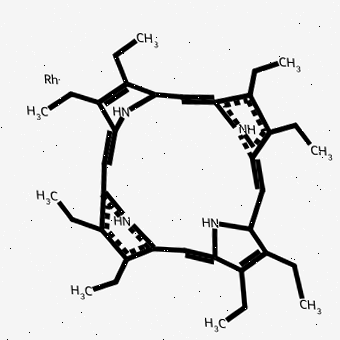 CCC1=C(CC)C2/C=c3\[nH]/c(c(CC)c3CC)=C\C3N/C(=C\c4[nH]c(c(CC)c4CC)/C=C/1N2)C(CC)=C3CC.[Rh]